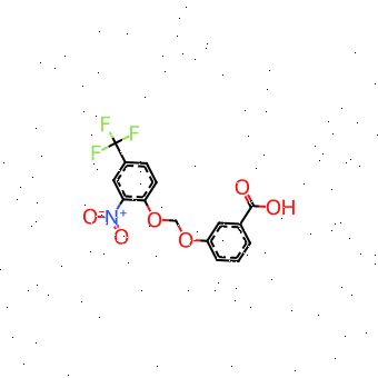 O=C(O)c1cccc(OCOc2ccc(C(F)(F)F)cc2[N+](=O)[O-])c1